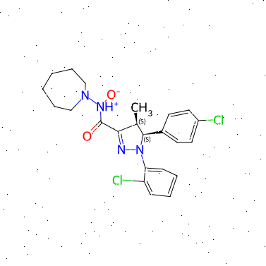 C[C@@H]1C(C(=O)[NH+]([O-])N2CCCCCC2)=NN(c2ccccc2Cl)[C@@H]1c1ccc(Cl)cc1